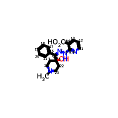 CN1CCC(O)(/C(=N\Nc2ncccc2C(=O)O)c2ccccc2)CC1